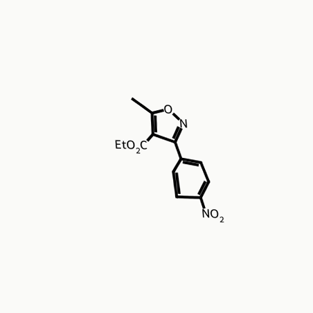 CCOC(=O)c1c(-c2ccc([N+](=O)[O-])cc2)noc1C